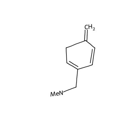 C=C1C=CC(CNC)=CC1